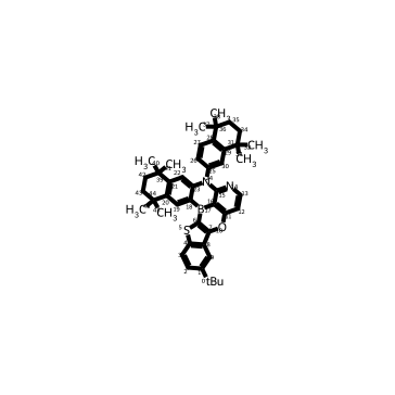 CC(C)(C)c1ccc2sc3c(c2c1)Oc1ccnc2c1B3c1cc3c(cc1N2c1ccc2c(c1)C(C)(C)CCC2(C)C)C(C)(C)CCC3(C)C